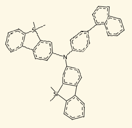 C[Si]1(C)c2ccccc2-c2ccc(N(c3ccc(-c4cccc5ccccc45)cc3)c3ccc4c(c3)[Si](C)(C)c3ccccc3-4)cc21